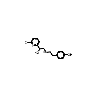 Oc1ccc(CCNCC(O)c2cccc(Cl)n2)cc1